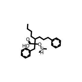 CCCCC(CCCc1ccccc1)C(Cc1ccccc1)(O[SiH](C)C)C(=O)O